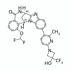 Cc1nc(N2CC(O)(C(F)(F)F)C2)ccc1-c1ccc2nc3n(c2c1)[C@H]1C[C@H]3NC(=O)c2cccc(OC(F)F)c21